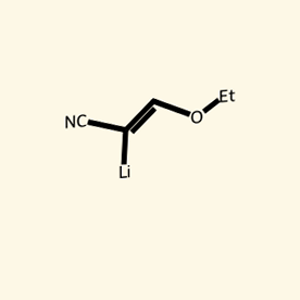 [Li][C](C#N)=COCC